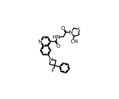 N#CC1CSCN1C(=O)CNC(=O)c1ccnc2ccc(N3CC(F)(c4ccccc4)C3)cc12